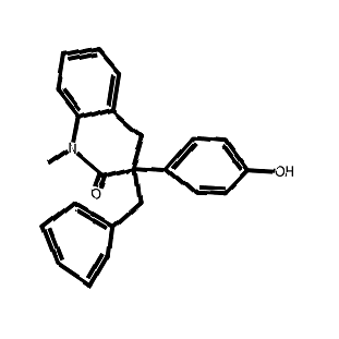 CN1C(=O)C(Cc2ccccc2)(c2ccc(O)cc2)Cc2ccccc21